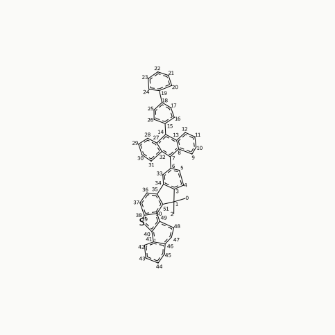 CC1(C)c2ccc(-c3c4ccccc4c(-c4ccc(-c5ccccc5)cc4)c4ccccc34)cc2-c2ccc3sc4c5ccccc5ccc4c3c21